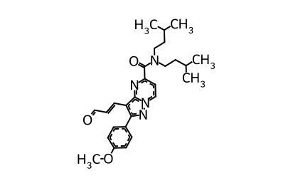 COc1ccc(-c2nn3ccc(C(=O)N(CCC(C)C)CCC(C)C)nc3c2/C=C/C=O)cc1